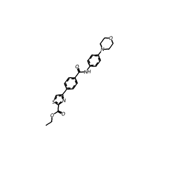 CCOC(=O)c1nc(-c2ccc(C(=O)Nc3ccc(N4CCOCC4)cc3)cc2)cs1